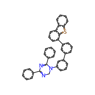 c1ccc(C2=NCN(c3cccc(-c4cccc(-c5cccc6c5sc5ccccc56)c4)c3)C(c3ccccc3)=N2)cc1